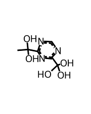 CC(O)(O)c1ncnc(C(O)(O)O)n1